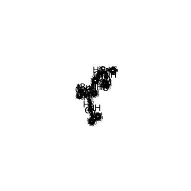 CC(C)CN(C[C@@H](O)[C@H](Cc1ccccc1)NC(=O)O[C@H]1CO[C@H]2OCC[C@H]21)S(=O)(=O)c1ccc(CNC(=O)[C@@H]2CCCN2C(=O)[C@H](CCCCNC(=O)OCC2c3ccccc3-c3ccccc32)NC(=O)[C@@H]2CCCN2C(=O)OC(C)(C)C)cc1